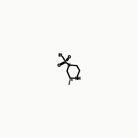 CCS(=O)(=O)N1CCN[C@H](C)C1